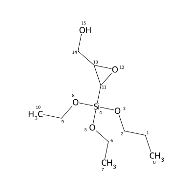 CCCO[Si](OCC)(OCC)C1OC1CO